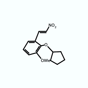 COc1cccc(C=C[N+](=O)[O-])c1OC1CCCC1